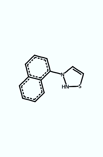 C1=CN(c2cccc3ccccc23)NS1